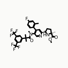 COC(=O)[C@]1(C)CC[C@H](c2cc(-c3ccc(F)cc3C)c(N(C)C(=O)C(C)(C)c3cc(C(F)(F)F)cc(C(F)(F)F)c3)cn2)N1